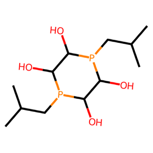 CC(C)CP1C(O)C(O)P(CC(C)C)C(O)C1O